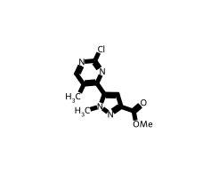 COC(=O)c1cc(-c2nc(Cl)ncc2C)n(C)n1